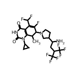 CC1c2c(c(=O)[nH]c(=O)n2C2CC2)C(C(F)F)=C(F)C1N1CCC(C(N)CC(C(F)(F)F)C(F)(F)F)C1